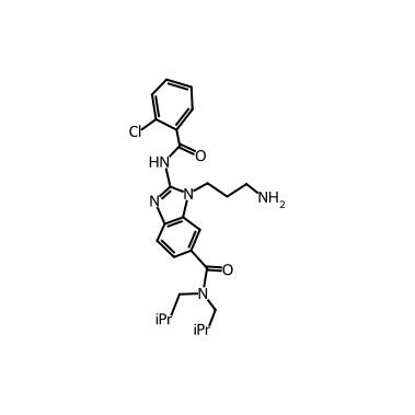 CC(C)CN(CC(C)C)C(=O)c1ccc2nc(NC(=O)c3ccccc3Cl)n(CCCN)c2c1